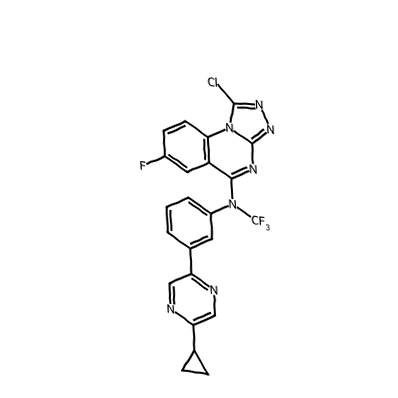 Fc1ccc2c(c1)c(N(c1cccc(-c3cnc(C4CC4)cn3)c1)C(F)(F)F)nc1nnc(Cl)n12